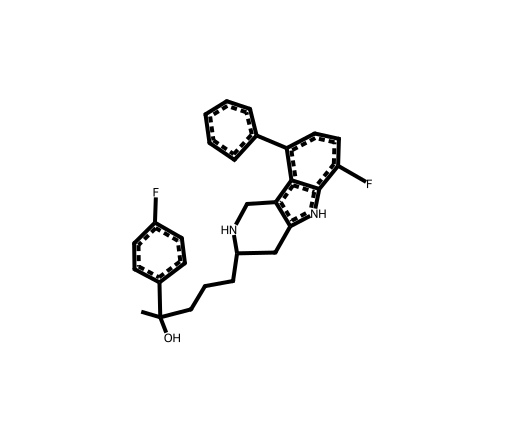 CC(O)(CCCC1Cc2[nH]c3c(F)ccc(-c4ccccc4)c3c2CN1)c1ccc(F)cc1